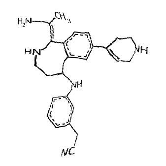 C/C(N)=C1/NCCC(Nc2cccc(CC#N)c2)c2cc(C3=CCNCC3)ccc21